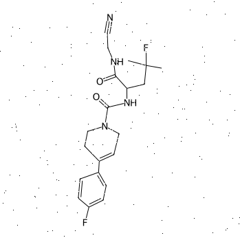 CC(C)(F)CC(NC(=O)N1CC=C(c2ccc(F)cc2)CC1)C(=O)NCC#N